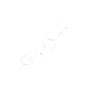 CC(C)(C)C#Cc1ccc(C(=O)Nc2ccc(Cl)cc2)cn1